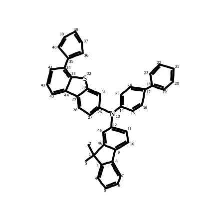 CC1(C)c2ccccc2-c2ccc(N(c3ccc(-c4ccccc4)cc3)c3ccc4c(c3)sc3c(-c5ccccc5)cccc34)cc21